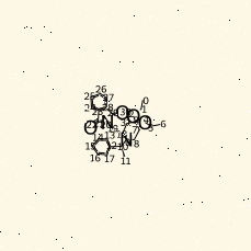 CCOC1(OCC)CCN([C@@H](C)c2ccccc2)[C@H](CN2C(=O)c3ccccc3C2=O)C1